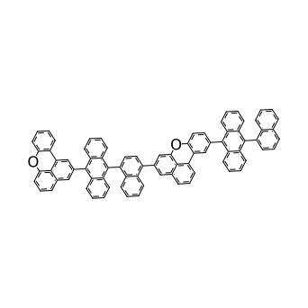 c1ccc2c(c1)Oc1cccc3cc(-c4c5ccccc5c(-c5ccc(-c6cc7c8c(cccc8c6)-c6cc(-c8c9ccccc9c(-c9cccc%10ccccc9%10)c9ccccc89)ccc6O7)c6ccccc56)c5ccccc45)cc-2c13